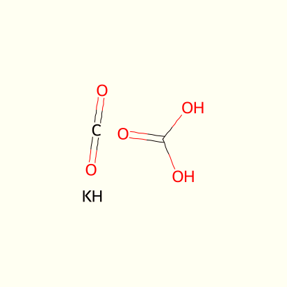 O=C(O)O.O=C=O.[KH]